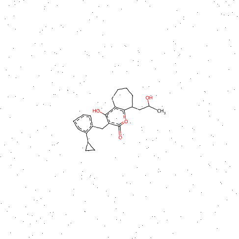 CC(O)CC1CCCCc2c1oc(=O)c(Cc1ccccc1C1CC1)c2O